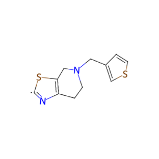 [c]1nc2c(s1)CN(Cc1ccsc1)CC2